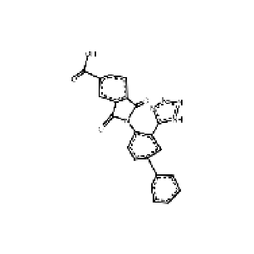 O=C(O)c1ccc2c(c1)C(=O)N(c1ccc(-c3ccccc3)cc1-c1nnn[nH]1)C2=O